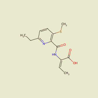 C/C=C(/NC(=O)c1nc(CC)ccc1SC)C(=O)O